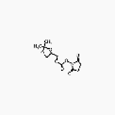 CC1(C)OCC(COC(=O)ON2C(=O)CCC2=O)O1